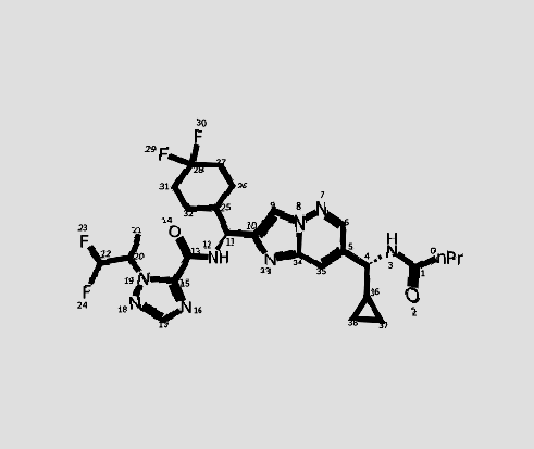 CCCC(=O)N[C@@H](c1cnn2cc([C@@H](NC(=O)c3ncnn3C(C)C(F)F)C3CCC(F)(F)CC3)nc2c1)C1CC1